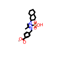 COC(=O)c1ccc(CN2C(C)=CN(C3CCC4CCCCC4C3)C2S(=O)(=O)O)cc1